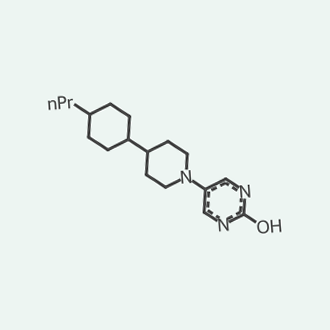 CCCC1CCC(C2CCN(c3cnc(O)nc3)CC2)CC1